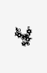 C=CC(=O)N1CCc2ccc(NC(=O)c3nn(Cc4ccc(F)cc4)c4c3CN(C(=O)c3ccc[nH]3)CC4C)cc21